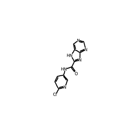 O=C(Nc1ccc(Cl)nc1)c1nc2ncncc2[nH]1